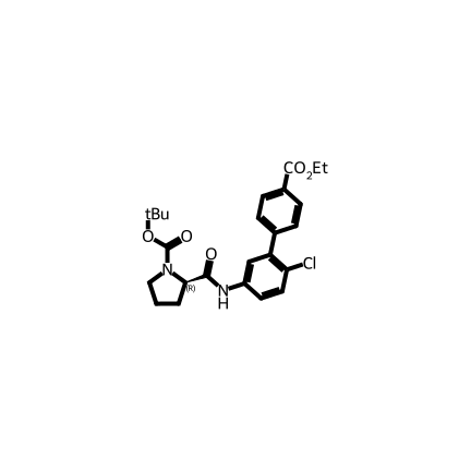 CCOC(=O)c1ccc(-c2cc(NC(=O)[C@H]3CCCN3C(=O)OC(C)(C)C)ccc2Cl)cc1